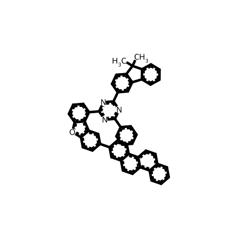 CC1(C)c2ccccc2-c2cc(-c3nc(-c4ccccc4)nc(-c4cccc5oc6ccc(-c7ccc8c(ccc9c%10ccccc%10ccc89)c7)cc6c45)n3)ccc21